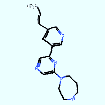 O=C(O)/C=C/c1cncc(-c2cncc(N3CCCNCC3)n2)c1